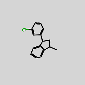 CC1CC(c2cccc(Cl)c2)c2ccccc21